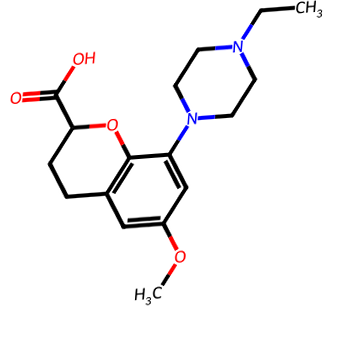 CCN1CCN(c2cc(OC)cc3c2OC(C(=O)O)CC3)CC1